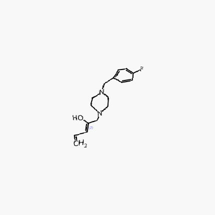 C=C/C=C(\O)CN1CCN(Cc2ccc(F)cc2)CC1